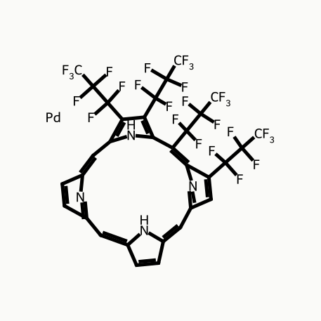 FC(F)(F)C(F)(F)C(F)(F)C1=Cc2cc3ccc(cc4nc(cc5[nH]c(c(C(F)(F)C(F)(F)C(F)(F)F)c1n2)c(C(F)(F)C(F)(F)C(F)(F)F)c5C(F)(F)C(F)(F)C(F)(F)F)C=C4)[nH]3.[Pd]